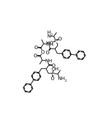 CC(NC(=O)C(Cc1ccc(-c2ccccc2)cc1)CP(=O)(O)C(C)N)C(=O)OC(=O)C(C)NC(=O)C(Cc1ccc(-c2ccccc2)cc1)CP(=O)(O)C(C)N